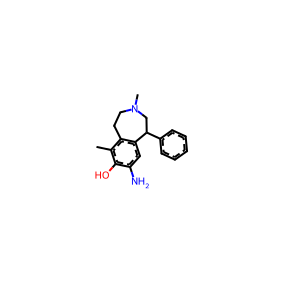 Cc1c(O)c(N)cc2c1CCN(C)CC2c1ccccc1